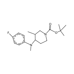 CC1CN(C(=O)OC(C)(C)C)CCC1N(C)c1ccc(F)cc1